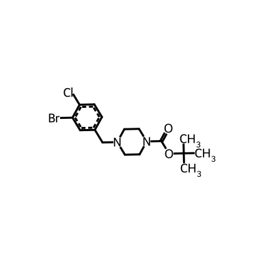 CC(C)(C)OC(=O)N1CCN(Cc2ccc(Cl)c(Br)c2)CC1